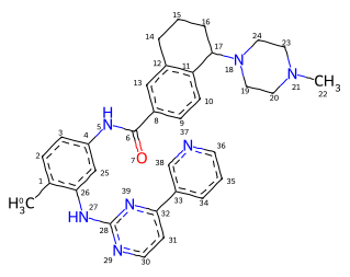 Cc1ccc(NC(=O)c2ccc3c(c2)CCCC3N2CCN(C)CC2)cc1Nc1nccc(-c2cccnc2)n1